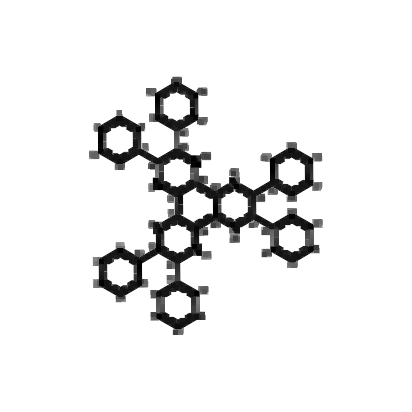 c1ccc(-c2nc3c4nc(-c5ccccc5)c(-c5ccccc5)nc4c4nc(-c5ccccc5)c(-c5ccccc5)nc4c3nc2-c2ccccc2)cc1